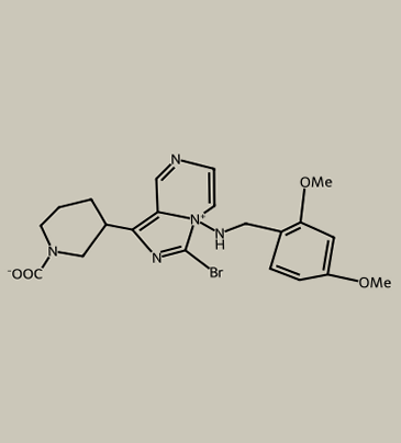 COc1ccc(CN[N+]23C=CN=CC2=C(C2CCCN(C(=O)[O-])C2)N=C3Br)c(OC)c1